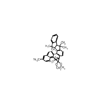 COC1(OC)C2(C)c3ccc4c(c3-c3ccc5cc(C)ccc5c3C12C)C1C(c2ccccc2C1(C)C)C4(C)C